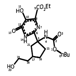 CCCCOC(=O)NC1(c2nc(C(=O)OCC)c(O)c(=O)[nH]2)CCC(CCO)C1